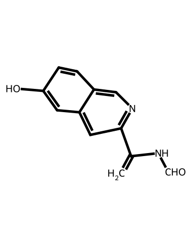 C=C(NC=O)c1cc2cc(O)ccc2cn1